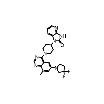 Cc1cc(N2CCC(F)(F)C2)cc2c(N3CCC(n4c(=O)[nH]c5ncccc54)CC3)ncnc12